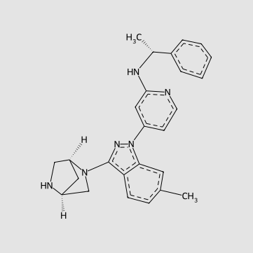 Cc1ccc2c(N3C[C@@H]4C[C@H]3CN4)nn(-c3ccnc(N[C@H](C)c4ccccc4)c3)c2c1